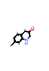 Cc1ccc2c(c1)NCC(=O)C2